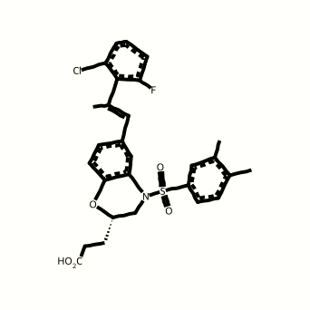 C/C(=C\c1ccc2c(c1)N(S(=O)(=O)c1ccc(C)c(C)c1)C[C@H](CCC(=O)O)O2)c1c(F)cccc1Cl